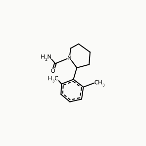 Cc1cccc(C)c1C1CCCCN1C(N)=O